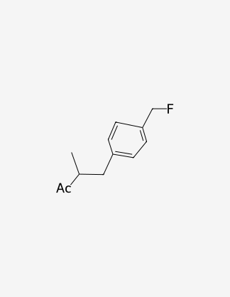 CC(=O)C(C)Cc1ccc(CF)cc1